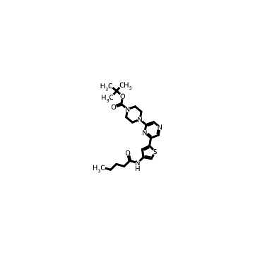 CCCCC(=O)Nc1csc(-c2cncc(N3CCN(C(=O)OC(C)(C)C)CC3)n2)c1